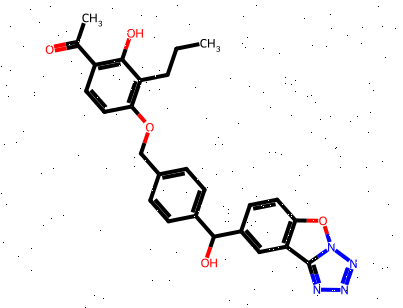 CCCc1c(OCc2ccc(C(O)c3ccc4on5nnnc5c4c3)cc2)ccc(C(C)=O)c1O